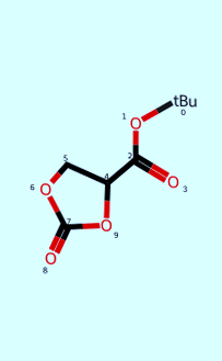 CC(C)(C)OC(=O)C1COC(=O)O1